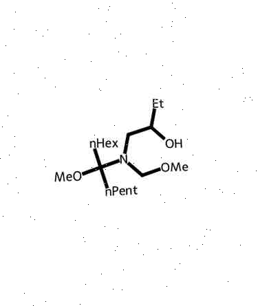 CCCCCCC(CCCCC)(OC)N(COC)CC(O)CC